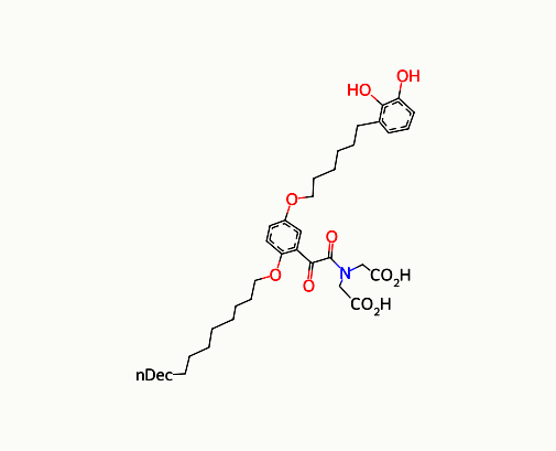 CCCCCCCCCCCCCCCCCCOc1ccc(OCCCCCCc2cccc(O)c2O)cc1C(=O)C(=O)N(CC(=O)O)CC(=O)O